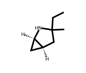 CCC1(C)C[C@H]2C[C@H]2N1